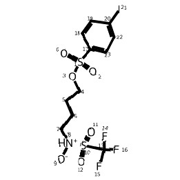 O=S(=O)(OCCCC[NH+]([O-])S(=O)(=O)C(F)(F)F)c1ccc(I)cc1